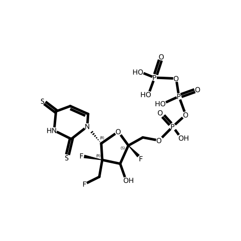 O=P(O)(O)OP(=O)(O)OP(=O)(O)OC[C@@]1(F)O[C@@H](n2ccc(=S)[nH]c2=S)[C@@](F)(CF)C1O